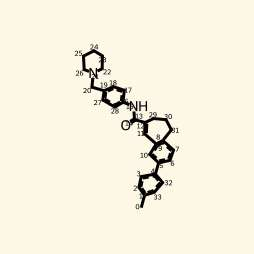 Cc1ccc(-c2ccc3c(c2)C=C(C(=O)Nc2ccc(CN4CCCCC4)cc2)CCC3)cc1